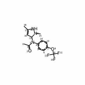 CC(=O)N(c1ccc(OC(F)(F)F)cc1)C1C=C(C)NN1C